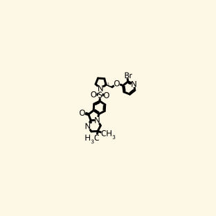 CC1(C)CN=C2C(=O)c3cc(S(=O)(=O)N4CCC[C@H]4COc4cccnc4Br)ccc3N2C1